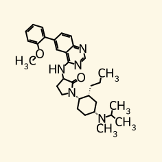 CCC[C@@H]1C[C@H](N(C)C(C)C)CC[C@@H]1N1CCC(Nc2ncnc3ccc(-c4ccccc4OC)cc23)C1=O